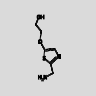 NCc1ncc(OCCO)s1